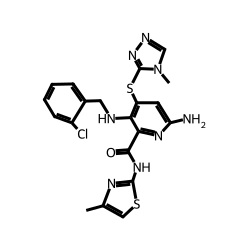 Cc1csc(NC(=O)c2nc(N)cc(Sc3nncn3C)c2NCc2ccccc2Cl)n1